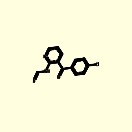 O=C(c1ccc(Cl)cc1)c1cccnc1NC=S